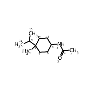 CC(=O)NC1CCC(C)(C(C)C)CC1